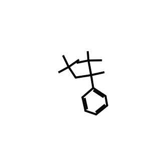 CC(C)(C)CC(C)(c1ccccc1)C(C)(C)C